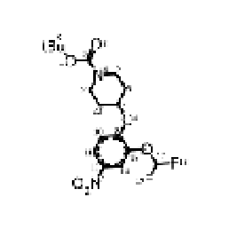 CC(C)(C)OC(=O)N1CCC(Oc2ccc([N+](=O)[O-])cc2OC(F)F)CC1